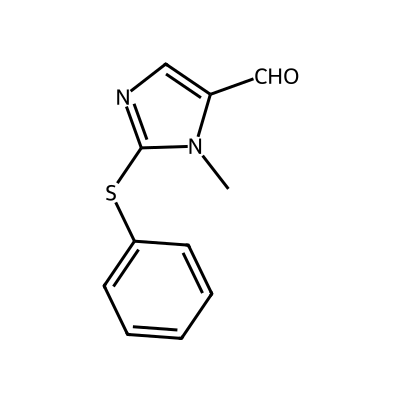 Cn1c(C=O)cnc1Sc1ccccc1